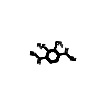 CCC(C)Nc1ccc(NC(C)CC)c(C)c1C